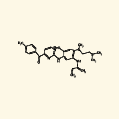 C=CC(=C)Nc1cc(Nc2nccc(C(=O)c3ccc(C)cc3)n2)c(OC)cc1N(C)CCN(C)C